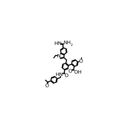 CCn1cc(Cc2ccc(C(=O)NCc3ccc(C(C)=O)cc3)cc2-c2ccc(OC)cc2C(=O)O)c2ccc(C(=N)N)cc21